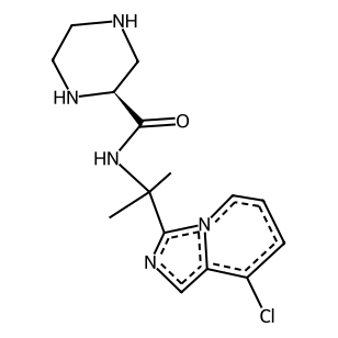 CC(C)(NC(=O)[C@@H]1CNCCN1)c1ncc2c(Cl)cccn12